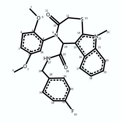 COc1ccc(OC)c(N2C(=O)CSc3c(c4ccccc4n3C)C2C(=O)NCc2ccc(F)cc2)c1